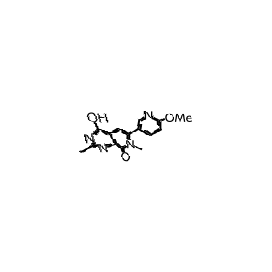 COc1ccc(-c2cc3c(O)nc(C)nc3c(=O)n2C)cn1